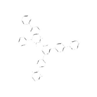 c1ccc(-c2ccc(-c3cc(C4=Nc5ccc(-c6ccccc6)cc5C(c5ccccc5)N4)cc(-c4ccc(-c5ncccn5)cc4)c3)cc2)cc1